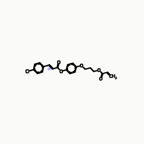 C=CC(=O)OCCCOc1ccc(OC(=O)/C=C/c2ccc(Cl)cc2)cc1